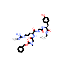 CN(CC(=O)N[C@@H](CCCN/C(N)=N/[N+](=O)[O-])C(=O)NCC(=O)N[C@@H](Cc1ccc(O)cc1)C(=O)NCC(=O)O)C(=O)OCc1ccccc1